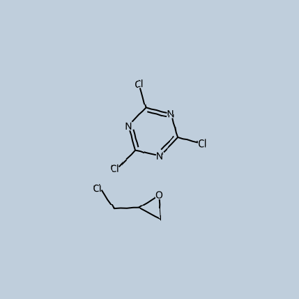 ClCC1CO1.Clc1nc(Cl)nc(Cl)n1